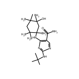 BC1(B)CC(B)(C)C(B)(O)CC1(B)Nc1nc(NC(C)(C)C)ncc1C(N)=O